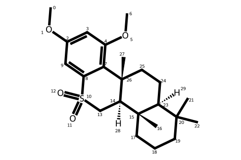 COc1cc(OC)c2c(c1)S(=O)(=O)C[C@@H]1[C@@]3(C)CCCC(C)(C)[C@@H]3CC[C@@]21C